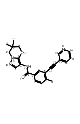 Cc1ccc(C(=O)Nc2cnn3c2OCC(C)(C)C3)cc1C#Cc1cccnc1